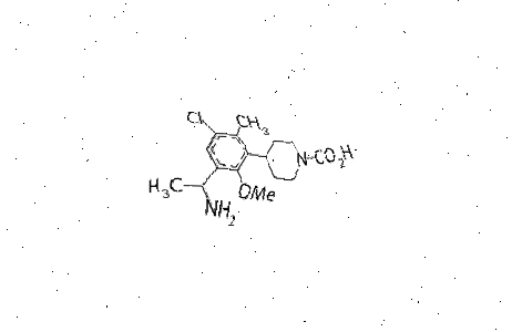 COc1c(C(C)N)cc(Cl)c(C)c1C1CCN(C(=O)O)CC1